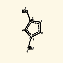 CC(C)(C)n1cc[n+](C(C)(C)C)c1